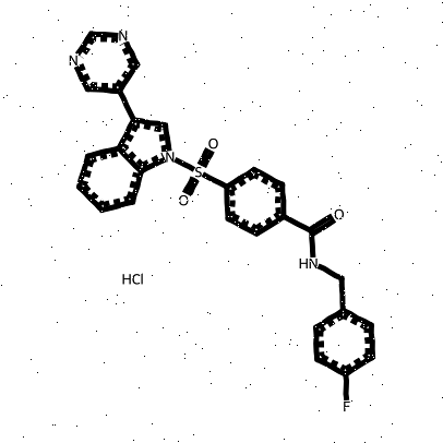 Cl.O=C(NCc1ccc(F)cc1)c1ccc(S(=O)(=O)n2cc(-c3cncnc3)c3ccccc32)cc1